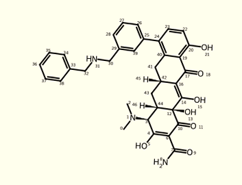 CN(C)[C@@H]1C(O)=C(C(N)=O)C(=O)[C@@]2(O)C(O)=C3C(=O)c4c(O)ccc(-c5cccc(CNCc6ccccc6)c5)c4C[C@H]3C[C@@H]12